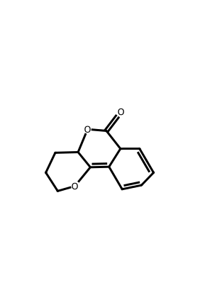 O=C1OC2CCCOC2=C2C=CC=CC12